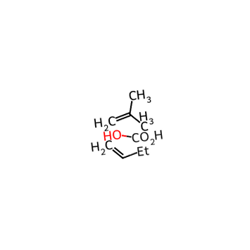 C=C(C)C.C=CCC.O=C(O)O